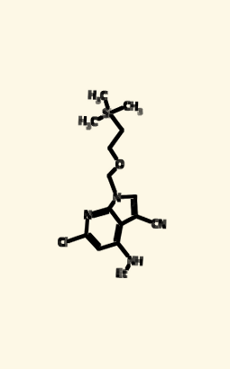 CCNc1cc(Cl)nc2c1c(C#N)cn2COCC[Si](C)(C)C